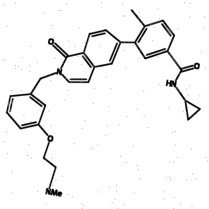 CNCCOc1cccc(Cn2ccc3cc(-c4cc(C(=O)NC5CC5)ccc4C)ccc3c2=O)c1